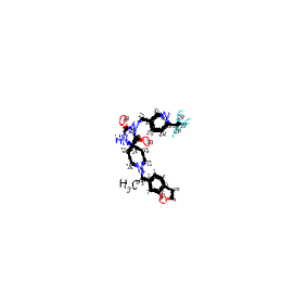 C[C@@H](c1ccc2c(c1)OCC2)N1CCC2(CC1)NC(=O)N(Cc1ccc(C(F)(F)F)nc1)C2=O